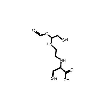 O=COC(CS)NCCNC(CS)C(=O)O